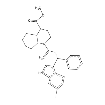 C=C(C[C@H](c1ccccc1)c1c[nH]c2cc(F)ccc12)N1CCC(C(=O)OC)C2CCCCC21